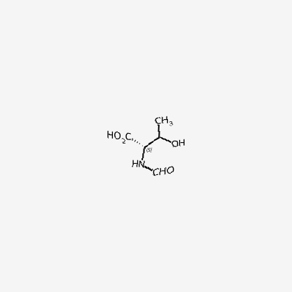 CC(O)[C@H](NC=O)C(=O)O